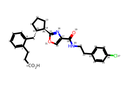 O=C(O)CCc1ccccc1C[C@@H]1CCC[C@H]1c1nc(C(=O)NCCc2ccc(Cl)cc2)co1